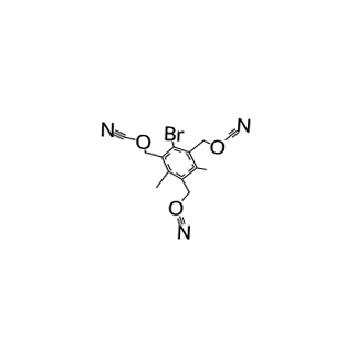 Cc1c(COC#N)c(C)c(COC#N)c(Br)c1COC#N